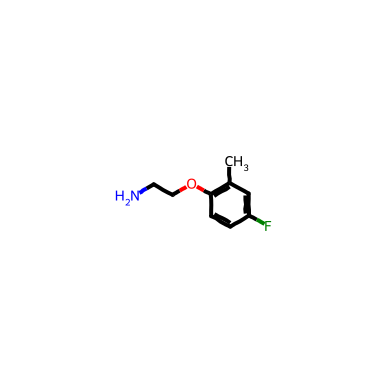 Cc1cc(F)ccc1OCCN